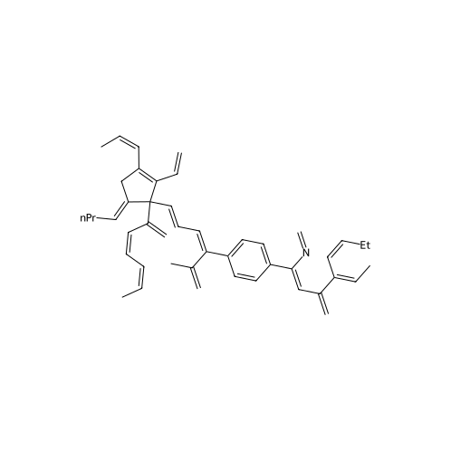 C=CC1=C(/C=C\C)C/C(=C\CCC)C1(C=C/C=C(\C(=C)C)c1ccc(/C(=C/C(=C)C(/C=C\CC)=C/C)N=C)cc1)C(=C)/C=C\C=C/C